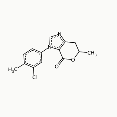 Cc1ccc(-n2cnc3c2C(=O)OC(C)C3)cc1Cl